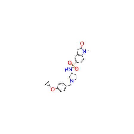 CN1C(=O)Cc2cc(S(=O)(=O)N[C@@H]3CCN(Cc4ccc(OC5CC5)cc4)C3)ccc21